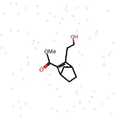 COC(=O)C1=C(CCO)C2CCC1C2